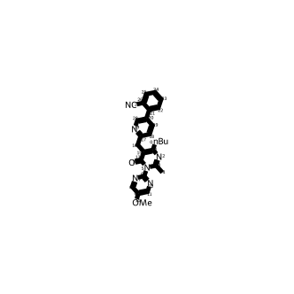 CCCCc1nc(C)n(-c2ncc(OC)cn2)c(=O)c1Cc1ccc(-c2ccccc2C#N)cn1